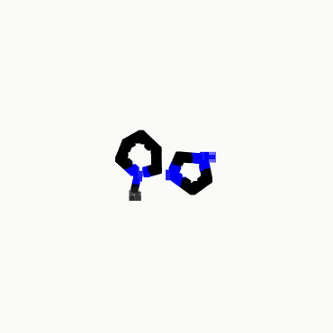 CC[n+]1ccccc1.c1c[nH]cn1